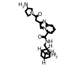 CC1(C)[C@@H]2CC[C@@H](CNC(=O)c3cccc4nc(CC(=O)N5CC[C@@H](N)C5)cn34)[C@H]1C2